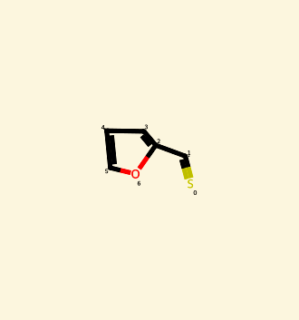 S=[C]c1ccco1